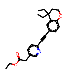 CCOC(=O)Cc1ccc(C#Cc2ccc3c(c2)C(CC)(CC)CCO3)nc1